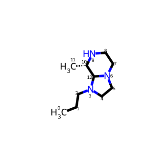 CCCN1CCN2CCN[C@@H](C)C12